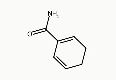 NC(=O)C1=C[CH]CC=C1